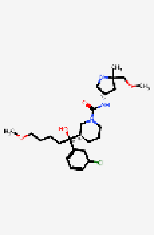 COCCCC[C@@](O)(C1=CC=CC(Cl)C1)[C@@H]1CCCN(C(=O)N[C@@H]2CNC(C)(COC)C2)C1